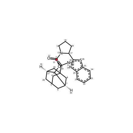 NC(=O)C12CC3C[C@H](C1)C(OC(=O)N1CCCC1c1nc4ccccc4s1)[C@@H](C3)C2